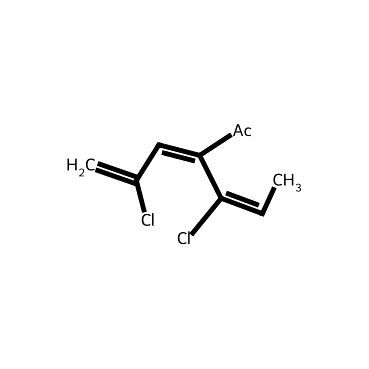 C=C(Cl)/C=C(C(C)=O)\C(Cl)=C/C